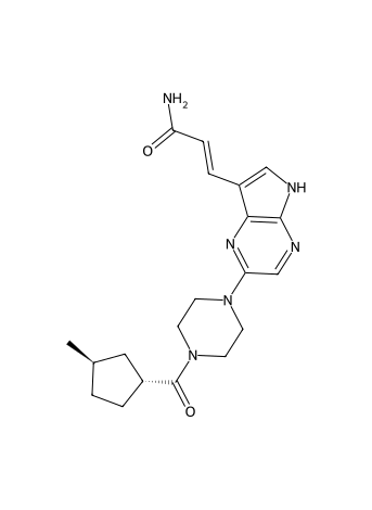 C[C@@H]1CC[C@@H](C(=O)N2CCN(c3cnc4[nH]cc(/C=C/C(N)=O)c4n3)CC2)C1